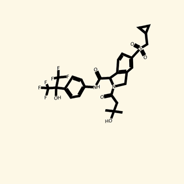 CC(C)(O)CC(=O)N1Cc2cc(S(=O)(=O)CC3CC3)ccc2C1C(=O)Nc1ccc(C(O)(C(F)(F)F)C(F)(F)F)cc1